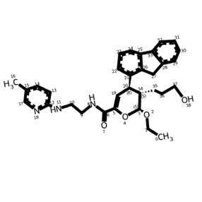 CCO[C@H]1OC(C(=O)NCCNc2ccc(C)cn2)=C[C@@H](c2cccc3c2Cc2ccccc2-3)[C@@H]1CCCO